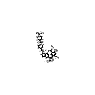 CC(C)c1cc(-c2nnc(O)n2-c2ccc3c(ccn3CCC3CCN(S(=O)(=O)C4CCN(C(=O)O)CC4)CC3)c2)c(O)cc1O